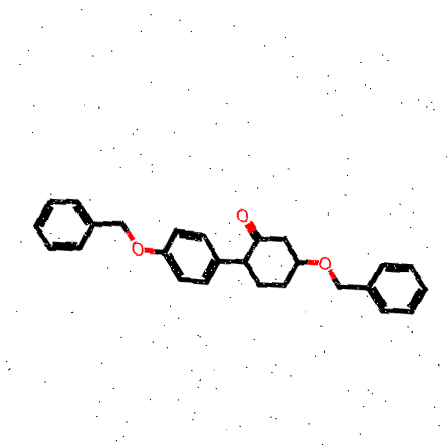 O=C1CC(OCc2ccccc2)CCC1c1ccc(OCc2ccccc2)cc1